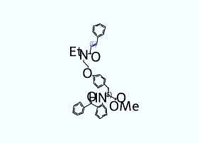 CCN(CCOc1ccc(C[C@H](Nc2ccccc2C(=O)c2ccccc2)C(=O)OC)cc1)C(=O)/C=C/c1ccccc1